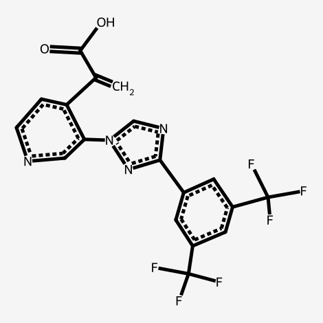 C=C(C(=O)O)c1ccncc1-n1cnc(-c2cc(C(F)(F)F)cc(C(F)(F)F)c2)n1